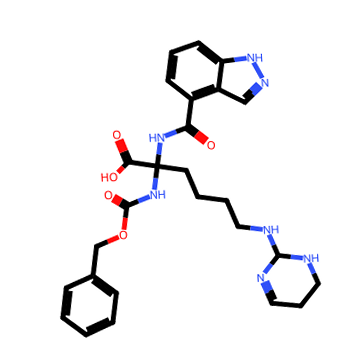 O=C(NC(CCCCNC1N=CCCN1)(NC(=O)c1cccc2[nH]ncc12)C(=O)O)OCc1ccccc1